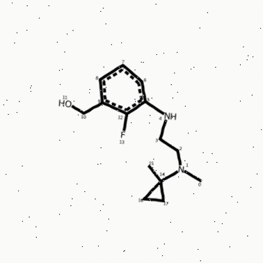 CN(CCNc1cccc(CO)c1F)C1(C)CC1